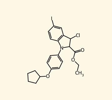 CCOC(=O)C1C(Cl)c2cc(I)ccc2N1c1ccc(OC2CCCC2)cc1